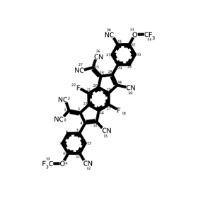 N#CC(C#N)=C1C(c2ccc(OC(F)(F)F)c(C#N)c2)=C(C#N)c2c(F)c3c(c(F)c21)C(=C(C#N)C#N)C(c1ccc(OC(F)(F)F)c(C#N)c1)=C3C#N